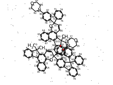 CC1(C)c2ccccc2-c2c1c1c(c3ccccc23)OC(c2ccc(N3CCOCC3)cc2)(c2ccc3c(c2)C(c2ccccc2)(c2ccc(CC4(C)c5ccccc5-c5c4c4c(c6ccccc56)OC(c5ccccc5)(c5ccc(N6CCOCC6)cc5)C=C4)cc2)c2ccccc2-3)C=C1